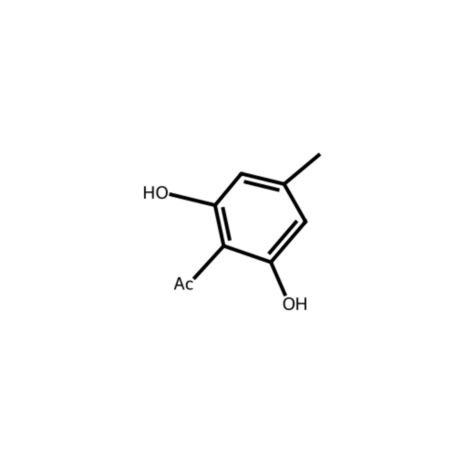 CC(=O)c1c(O)cc(C)cc1O